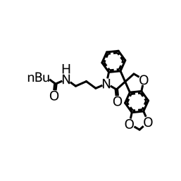 CCCCC(=O)NCCCN1C(=O)C2(COc3cc4c(cc32)OCO4)c2ccccc21